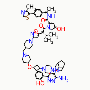 Cc1ncsc1-c1ccc([C@H](C)NC(=O)[C@@H]2C[C@@H](O)CN2C(=O)[C@@H](c2cc(N3CCC(CN4CCC(O[C@H]5C[C@H](N6CCN(CC7C8CCC7CN(c7cc(-c9ccccc9O)nnc7N)C8)CC6)C5)CC4)CC3)no2)C(C)C)cc1